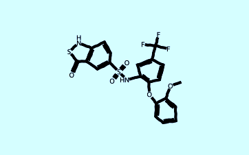 COc1ccccc1Oc1ccc(C(F)(F)F)cc1NS(=O)(=O)c1ccc2[nH]sc(=O)c2c1